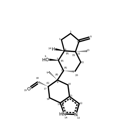 C=C1CC[C@H]2[C@H](O)[C@@H]([C@@]3(C)Cc4cn[nH]c4C[C@@H]3C=O)CC[C@]12C